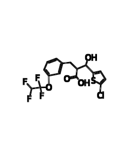 O=C(O)C(Cc1cccc(OC(F)(F)C(F)F)c1)C(O)c1ccc(Cl)s1